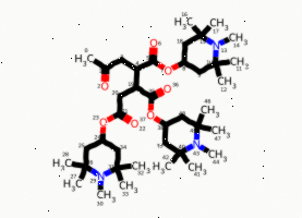 CC(=O)CC(C(=O)OC1CC(C)(C)N(C)C(C)(C)C1)C(CC(=O)OC1CC(C)(C)N(C)C(C)(C)C1)C(=O)OC1CC(C)(C)N(C)C(C)(C)C1